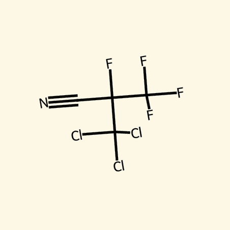 N#CC(F)(C(F)(F)F)C(Cl)(Cl)Cl